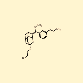 CCOc1cccc(C(OC)=C2C3CC4CC2CC(OCCBr)(C4)C3)c1